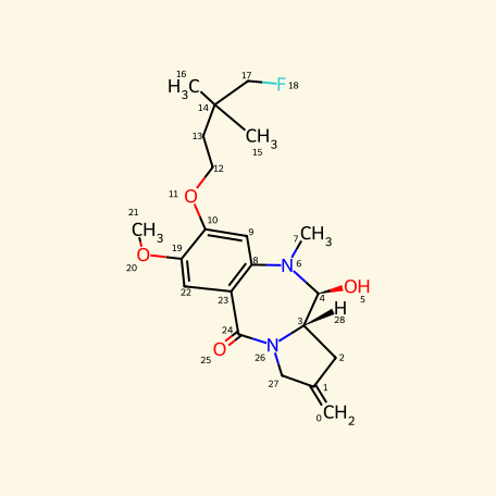 C=C1C[C@H]2[C@H](O)N(C)c3cc(OCCC(C)(C)CF)c(OC)cc3C(=O)N2C1